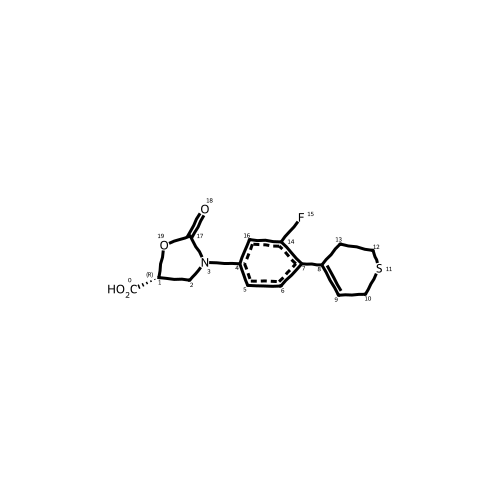 O=C(O)[C@H]1CN(c2ccc(C3=CCSCC3)c(F)c2)C(=O)O1